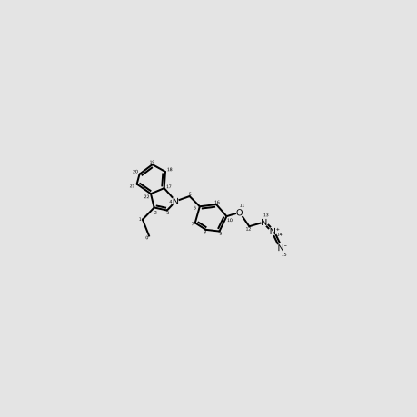 CCc1cn(Cc2cccc(OCN=[N+]=[N-])c2)c2ccccc12